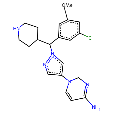 COc1cc(Cl)cc(C(C2CCNCC2)n2cc(N3C=CC(N)=NC3)cn2)c1